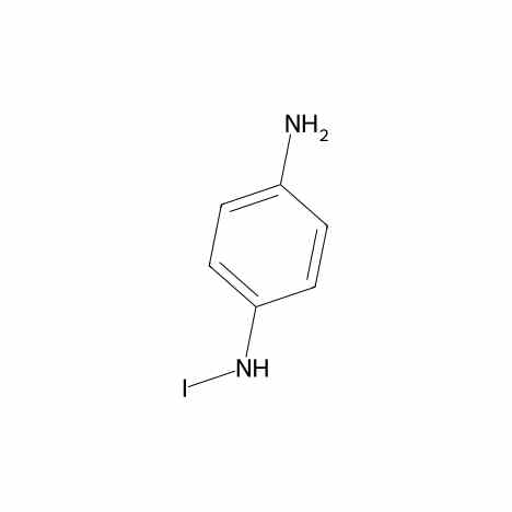 Nc1ccc(NI)cc1